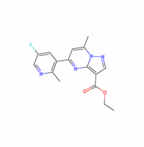 CCOC(=O)c1cnn2c(C)cc(-c3cc(F)cnc3C)nc12